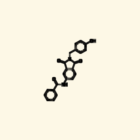 O=C(Nc1ccc2c(c1)C(=O)N(Cc1ccc(O)cc1)C2=O)c1ccccc1